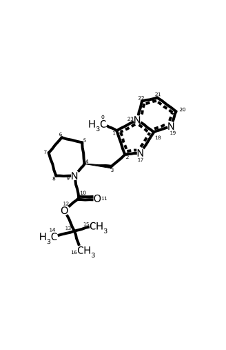 Cc1c(C[C@@H]2CCCCN2C(=O)OC(C)(C)C)nc2ncccn12